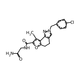 Cc1c(C(=O)NCC(N)=O)oc2c1-c1nn(Cc3ccc(Cl)cc3)cc1CC2